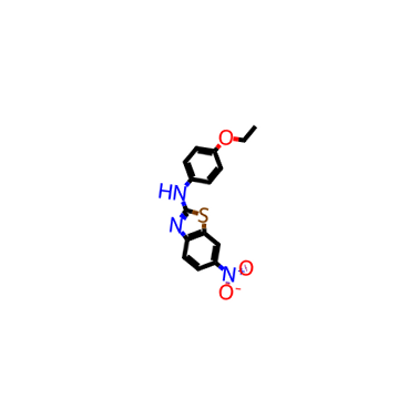 CCOc1ccc(Nc2nc3ccc([N+](=O)[O-])cc3s2)cc1